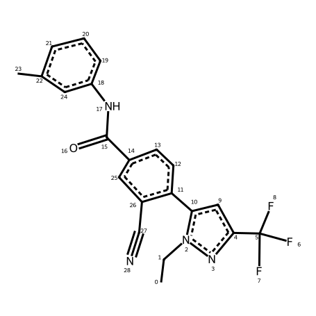 CCn1nc(C(F)(F)F)cc1-c1ccc(C(=O)Nc2cccc(C)c2)cc1C#N